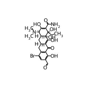 CC[C@]1(O)C(C(N)=O)=C(O)[C@@H](N(C)C)[C@@H]2C[C@@H]3Cc4c(Br)cc(C=O)c(O)c4C(=O)C3=C(O)[C@@]21O